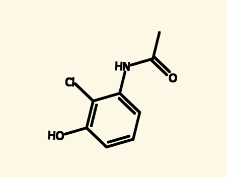 CC(=O)Nc1cccc(O)c1Cl